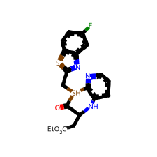 CCOC(=O)CC1Nc2cccnc2[SH](Cc2nc3cc(F)ccc3s2)C1=O